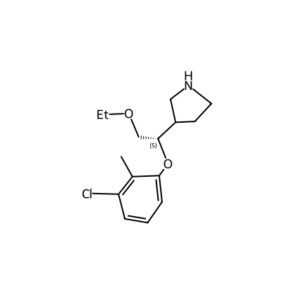 CCOC[C@@H](Oc1cccc(Cl)c1C)C1CCNC1